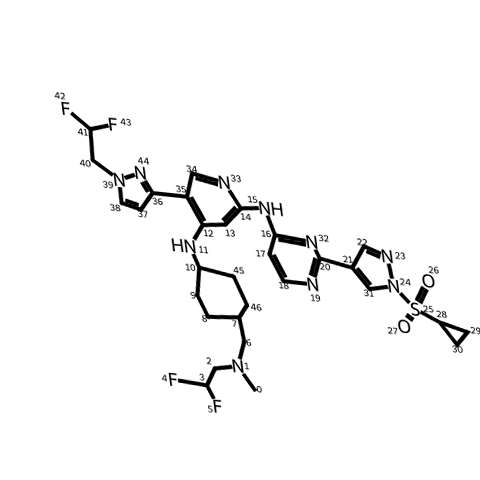 CN(CC(F)F)CC1CCC(Nc2cc(Nc3ccnc(-c4cnn(S(=O)(=O)C5CC5)c4)n3)ncc2-c2ccn(CC(F)F)n2)CC1